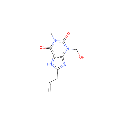 C=CCc1nc2c([nH]1)c(=O)n(C)c(=O)n2CO